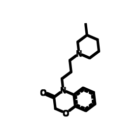 CC1CCCN(CCCN2C(=O)COc3ccccc32)C1